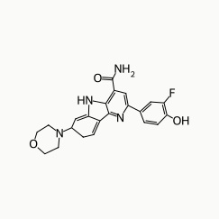 NC(=O)c1cc(-c2ccc(O)c(F)c2)nc2c3c([nH]c12)=CC(N1CCOCC1)CC=3